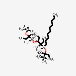 CCCCCCCCCC[Si](C)(OC(C)(CC)[Si](C)(C)C)C(C)(CC)C(CC)O[Si](C)(C)C(C)(CC)O[Si](C)(C)C